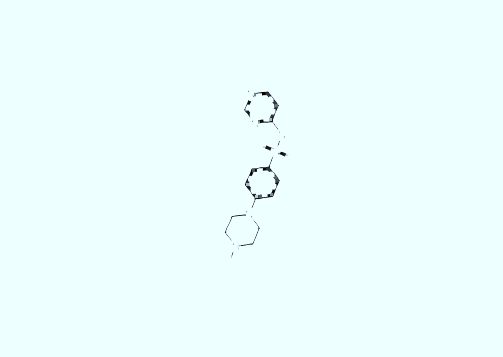 O=CN1CCN(c2ccc(S(=O)(=O)Nc3ccncn3)cc2)CC1